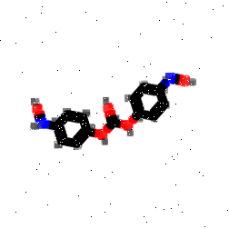 O=Nc1ccc(OC(=O)Oc2ccc(N=O)cc2)cc1